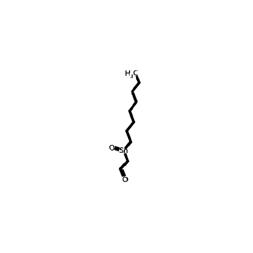 CCCCCCC[CH2][Sn](=[O])[CH2]C=O